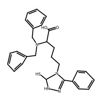 O=C(O)C(CCCN1C(c2ccccc2)=NNC1S)N(Cc1ccccc1)Cc1ccccc1